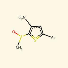 CC(=O)c1cc([N+](=O)[O-])c([S+](C)[O-])s1